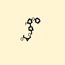 CC(=O)C1CC1COCc1ccc(-c2cc(Oc3ccccc3)ccc2F)cc1